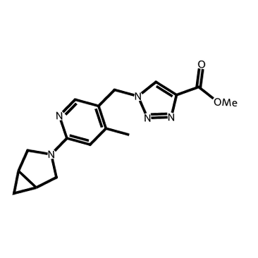 COC(=O)c1cn(Cc2cnc(N3CC4CC4C3)cc2C)nn1